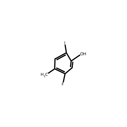 Cc1cc(I)c(O)cc1F